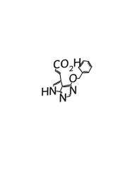 O=C(O)C=Cc1c[nH]c2ncnc(OCc3ccccc3)c12